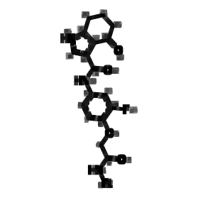 CCNC(=O)COc1ccc(NC(=O)c2c[nH]c3c2C(=O)CCC3)cc1F